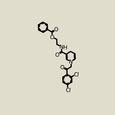 O=C(NCCOC(=O)c1ccccc1)C1=CN(CC(=O)c2ccc(Cl)cc2Cl)C=CC1